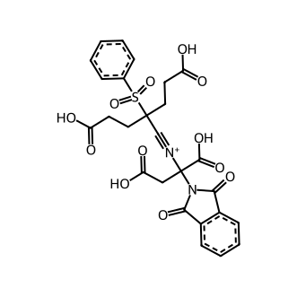 O=C(O)CCC(C#[N+]C(CC(=O)O)(C(=O)O)N1C(=O)c2ccccc2C1=O)(CCC(=O)O)S(=O)(=O)c1ccccc1